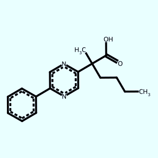 CCCCC(C)(C(=O)O)c1cnc(-c2ccccc2)cn1